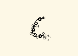 CN(C)C(=O)c1ccc(OC2CCN(C(=O)c3ccc(C(=O)NC4CCN(Cc5ccc(C#N)cc5)CC4)nc3)CC2)cc1